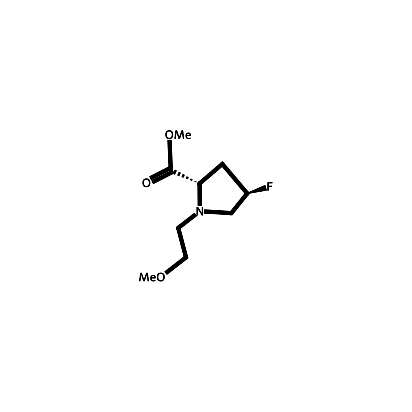 COCCN1C[C@H](F)C[C@H]1C(=O)OC